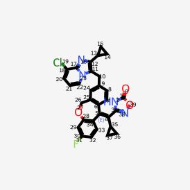 O=c1[nH]c(/C(=C2\c3ccc(Cc4c(C5CC5)nc5c(Cl)cccn45)cc3COc3cc(F)ccc32)C2CC2)no1